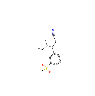 CCC(C)C(CC#N)c1cccc(S(C)(=O)=O)c1